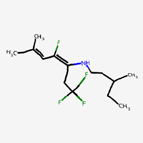 CCC(C)CCN/C(CC(F)(F)F)=C(\F)C=C(C)C